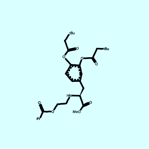 COC(=O)[C@H](Cc1ccc(OC(=O)CC(C)(C)C)c(OC(=O)CC(C)(C)C)c1)NCCOC(=O)C(C)C